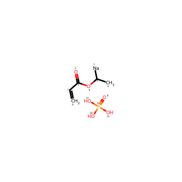 C=CC(=O)O[CH](C)[Na].O=P(O)(O)O